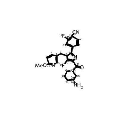 COc1ccc(CC2C(c3ccc(C#N)c(F)c3)=NC(C(=O)N3CCC[C@H](N)C3)=C2F)cn1